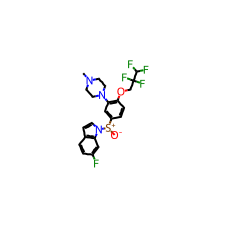 CN1CCN(c2cc([S+]([O-])n3ccc4ccc(F)cc43)ccc2OCC(F)(F)C(F)F)CC1